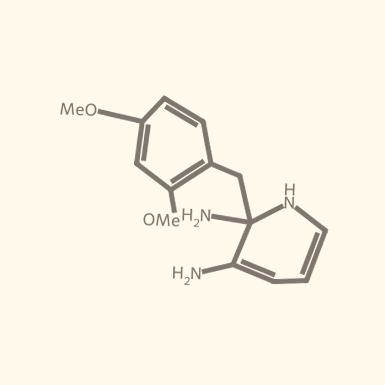 COc1ccc(CC2(N)NC=CC=C2N)c(OC)c1